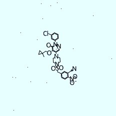 CC1(COc2c(N3CCN(S(=O)(=O)Cc4ccc([N+](=O)[O-])c(C#N)c4)CC3)cnn(-c3cccc(Cl)c3)c2=O)CC1